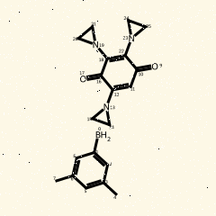 Bc1cc(C)cc(C)c1.O=C1C=C(N2CC2)C(=O)C(N2CC2)=C1N1CC1